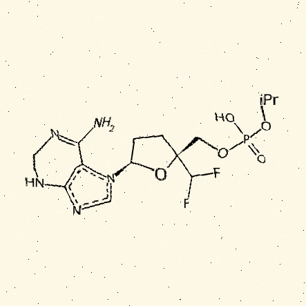 CC(C)OP(=O)(O)OC[C@]1(C(F)F)CC[C@H](n2cnc3c2C(N)=NCN3)O1